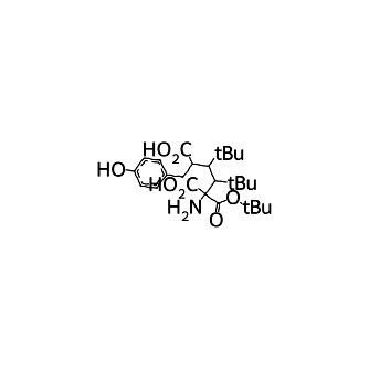 CC(C)(C)OC(=O)C(N)(C(=O)O)C(C(C(Cc1ccc(O)cc1)C(=O)O)C(C)(C)C)C(C)(C)C